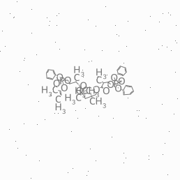 C/C=C(\C)OP(=O)(OCC(C)C(=O)OC(C)(C)CC(C)(C)COC(=O)C(C)COP(=O)(Oc1ccccc1)Oc1ccccc1)Oc1ccccc1